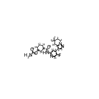 CC1(C)CCn2ncc(-c3cc(NC(=O)[C@H]4CCC[C@@H](OC(N)=O)C4)ncc3F)c2C1